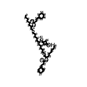 CCCCCCC(CSCCCCCC(CCCCCSCC(CCCCCC)OC(=O)CCC1CCCCC1)N(C)[C@H]1C[C@@H](O)C1)OC(=O)CCC1CCCCC1